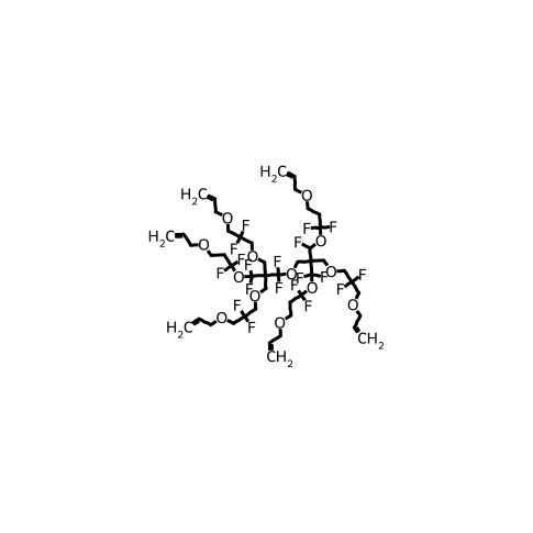 C=CCOCCC(F)(F)OC(F)C(COCC(F)(F)COCC=C)(COC(F)(F)C(COCC(F)(F)COCC=C)(COCC(F)(F)COCC=C)C(F)(F)OC(F)(F)CCOCC=C)C(F)(F)OC(F)(F)CCOCC=C